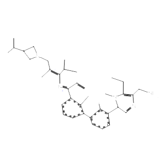 C=C/C(=N\C(=C(/C)CN1CC(C(C)C)C1)C(C)C)c1cccc(-c2cccc(C3C=NC(CN)=C(CC)N3C)c2Cl)c1C